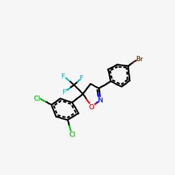 FC(F)(F)C1(c2cc(Cl)cc(Cl)c2)CC(c2ccc(Br)cc2)=NO1